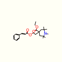 CCOC(=O)C1(CCOC(=O)/C=C/c2ccccc2)CC(C)(C)N(C)C(C)(C)C1